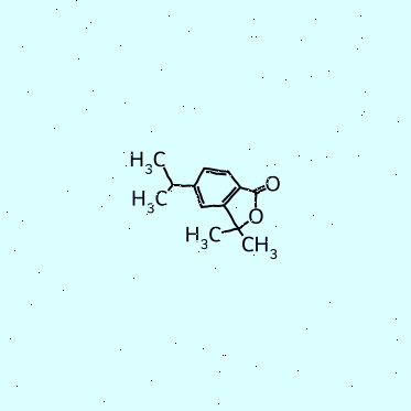 CC(C)c1ccc2c(c1)C(C)(C)OC2=O